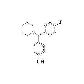 Oc1ccc(C(c2ccc(F)cc2)N2CCCCC2)cc1